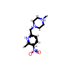 Cc1nc(CN2CCN(C)CC2)ccc1[N+](=O)[O-]